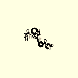 CN[C@@H](C)C(=O)N[C@H]1CCCC[C@H]2CC[C@@H](C(=O)NCc3cccc(C(=O)N4CCOC(=O)C4)c3)N2C1=O